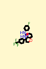 O=C(Nc1ccc(F)cc1)NC1(c2ccc(C(F)(F)F)cc2)CCOc2cccnc21